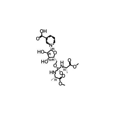 COC(=O)[C@H](C)NP(=O)(N[C@@H](C)C(=O)OC)OC[C@H]1O[C@@H]([n+]2cccc(C(=O)O)c2)[C@H](O)[C@@H]1O